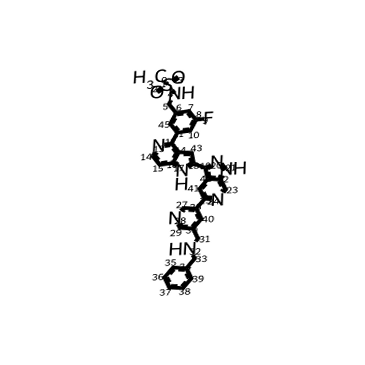 CS(=O)(=O)NCc1cc(F)cc(-c2nccc3[nH]c(-c4n[nH]c5cnc(-c6cncc(CNCc7ccccc7)c6)cc45)cc23)c1